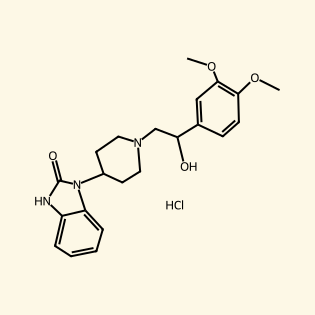 COc1ccc(C(O)CN2CCC(n3c(=O)[nH]c4ccccc43)CC2)cc1OC.Cl